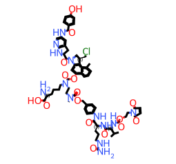 Cc1cccc2c(OC(=O)N(CCCC[C@H](N)C(=O)O)CCN(C)C(=O)OCc3ccc(NC(=O)[C@H](CCCNC(N)=O)NC(=O)[C@@H](NC(=O)OCCN4C(=O)C=CC4=O)C(C)C)cc3)cc3c(c12)[C@H](CCl)CN3C(=O)C1Cc2cc(NC(=O)c3ccc(O)cc3)cnc2N1